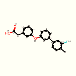 Cc1ccc(-c2cccc(Oc3cccc(CC(=O)O)c3)c2)cc1F